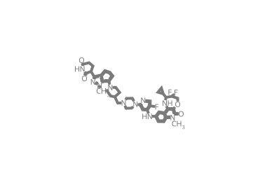 Cn1nc(C2CCC(=O)NC2=O)c2cccc(N3CCC(CN4CCN(c5cc(Nc6ccc7c(c6)c6c(c(=O)n7C)OCC(F)(F)C(C7CC7)N6)c(F)cn5)CC4)CC3)c21